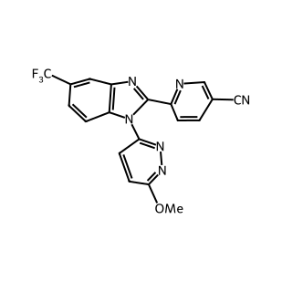 COc1ccc(-n2c(-c3ccc(C#N)cn3)nc3cc(C(F)(F)F)ccc32)nn1